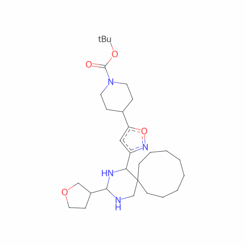 CC(C)(C)OC(=O)N1CCC(c2cc(C3NC(C4CCOC4)NCC34CCCCCCCC4)no2)CC1